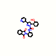 O=C1c2ccccc2C(=O)N1c1ccccc1NC(=O)N1N=C(c2cccnc2)CC1C1CC=CC=C1O